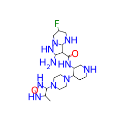 CC1NONC1N1CCN(C2CCNCC2NC(=O)C2C(N)NN3CC(F)CNC23)CC1